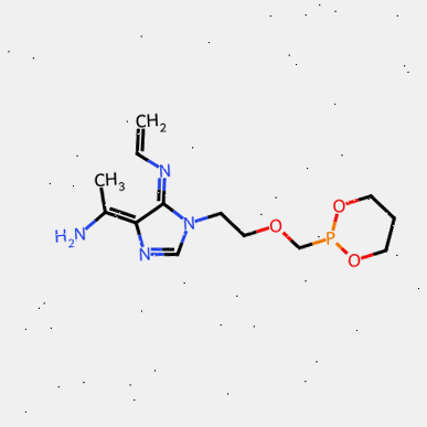 C=C/N=C1\C(=C(/C)N)N=CN1CCOCP1OCCCO1